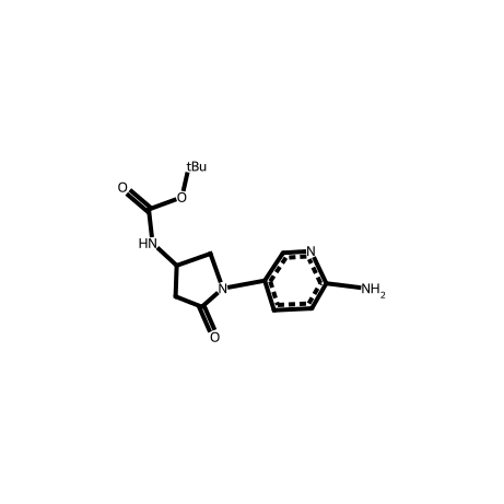 CC(C)(C)OC(=O)NC1CC(=O)N(c2ccc(N)nc2)C1